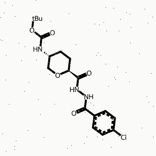 CC(C)(C)OC(=O)N[C@@H]1CC[C@@H](C(=O)NNC(=O)c2ccc(Cl)cc2)OC1